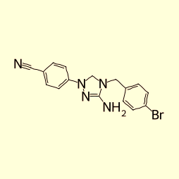 N#Cc1ccc(N2CN(Cc3ccc(Br)cc3)C(N)=N2)cc1